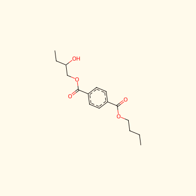 CCCCOC(=O)c1ccc(C(=O)OCC(O)CC)cc1